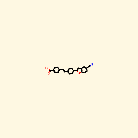 N#Cc1ccc2oc(-c3ccc(C=Cc4ccc(C(=O)O)cc4)cc3)cc2c1